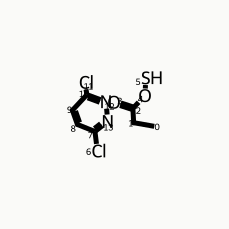 CCC(=O)OS.Clc1ccc(Cl)nn1